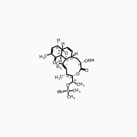 CO[C@H]1C[C@H]2C=C[C@H]3[C@@H]4C=C(C)C(=O)[C@H]3[C@]2(O4)/C(C)=C/[C@@H](C)[C@@H]([C@@H](C)O[Si](C)(C)C(C)(C)C)OC1=O